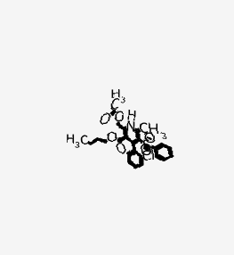 CCCCOC(=O)C1=C(COC(C)=O)NC(C)=C(S(=O)(=O)c2ccccc2)C1c1ccccc1Cl